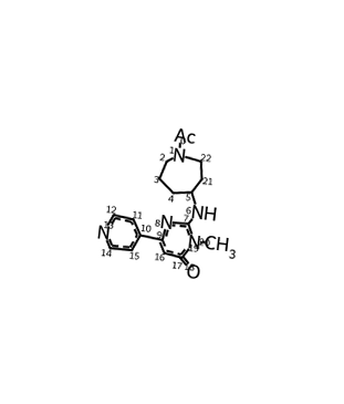 CC(=O)N1CCCC(Nc2nc(-c3ccncc3)cc(=O)n2C)CC1